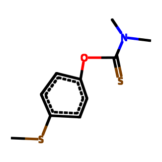 CSc1ccc(OC(=S)N(C)C)cc1